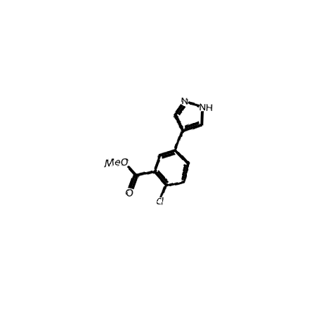 COC(=O)c1cc(-c2cn[nH]c2)ccc1Cl